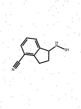 N#Cc1cccc2c1CCC2NS